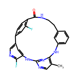 Cc1cnc2nc1Nc1cccc(c1)CCNC(=O)c1ccc(cc1F)-c1cnc(F)c(c1)N2